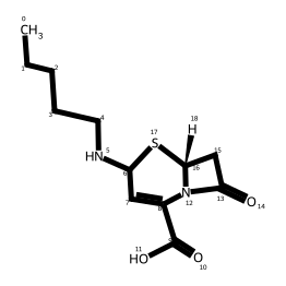 CCCCCNC1C=C(C(=O)O)N2C(=O)C[C@H]2S1